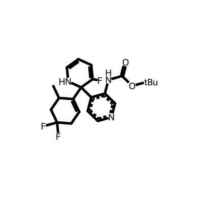 CC1CC(F)(F)CC=C1C1(c2ccncc2NC(=O)OC(C)(C)C)NC=CC=C1F